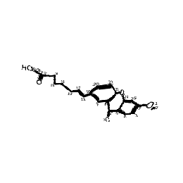 COc1ccc2c(=O)c3cc(/C=C/CCCCC(=O)O)ccc3oc2c1